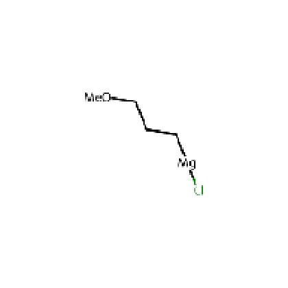 COCC[CH2][Mg][Cl]